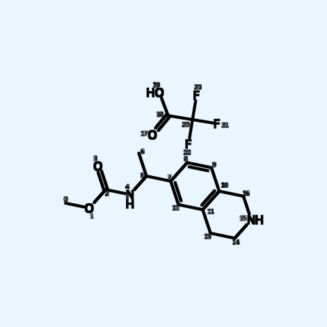 COC(=O)NC(C)c1ccc2c(c1)CCNC2.O=C(O)C(F)(F)F